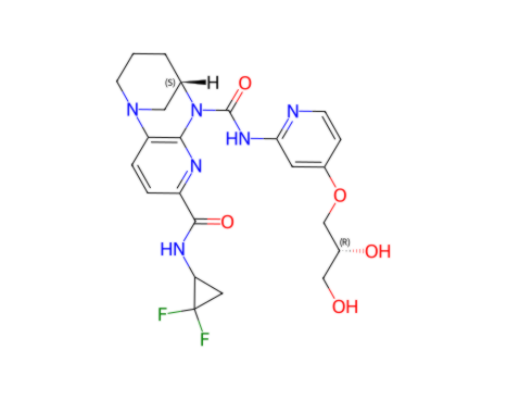 O=C(NC1CC1(F)F)c1ccc2c(n1)N(C(=O)Nc1cc(OC[C@H](O)CO)ccn1)[C@H]1CCCN2C1